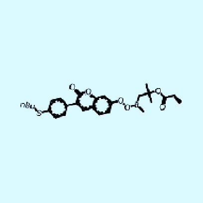 C=CC(=O)OC(C)(C)CB(C)OOc1ccc2cc(-c3ccc(SCCCC)cc3)c(=O)oc2c1